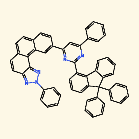 c1ccc(-c2cc(-c3ccc4ccc5ccc6nn(-c7ccccc7)nc6c5c4c3)nc(-c3cccc4c3-c3ccccc3C4(c3ccccc3)c3ccccc3)n2)cc1